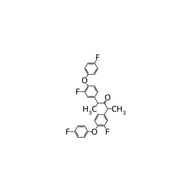 CC(C(=O)C(C)c1ccc(Oc2ccc(F)cc2)c(F)c1)c1ccc(Oc2ccc(F)cc2)c(F)c1